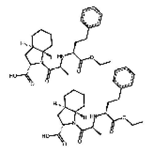 CCOC(=O)[C@H](CCc1ccccc1)N[C@@H](C)C(=O)N1[C@H](C(=O)O)C[C@H]2CCCC[C@@H]21.CCOC(=O)[C@H](CCc1ccccc1)N[C@@H](C)C(=O)N1[C@H](C(=O)O)C[C@H]2CCCC[C@@H]21